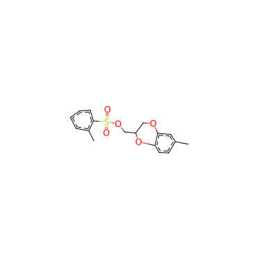 Cc1ccc2c(c1)OCC(COS(=O)(=O)c1ccccc1C)O2